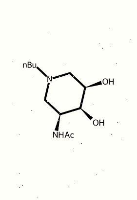 CCCCN1C[C@@H](O)[C@@H](O)[C@@H](NC(C)=O)C1